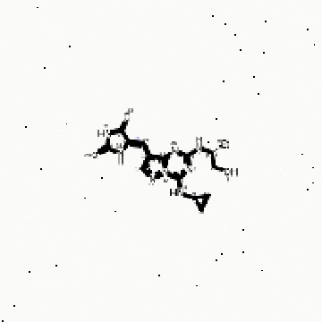 CC[C@H](CO)Nc1nc(NC2CC2)n2ncc(/C=C3\NC(=O)NC3=O)c2n1